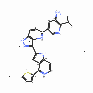 CC(C)c1ncc(-c2ccc3[nH]nc(-c4cc5c(-c6cccs6)nccc5[nH]4)c3n2)cc1N